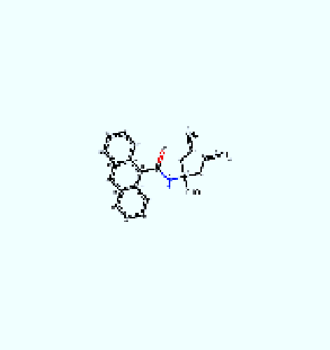 C=CCC(C=O)(CC=C)NC(=O)c1c2ccccc2cc2ccccc12